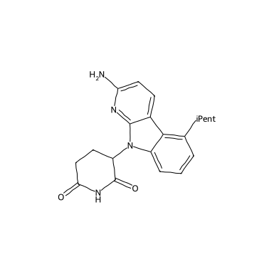 CCCC(C)c1cccc2c1c1ccc(N)nc1n2C1CCC(=O)NC1=O